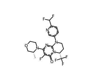 C[C@@H]1COCCN1c1nc2n(c(=O)c1F)[C@@H](C(F)(F)F)CCN2c1ccc(C(F)F)nc1